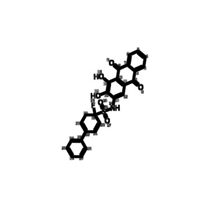 O=C1c2ccccc2C(=O)c2c1cc(NS(=O)(=O)C1(F)C=CC(c3ccccc3)=CC1)c(O)c2O